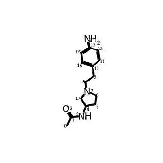 CC(=O)NC1CCN(CCc2ccc(N)cc2)C1